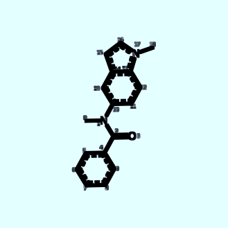 CN(C(=O)c1ccccc1)c1ccc2c(c[c]n2C)c1